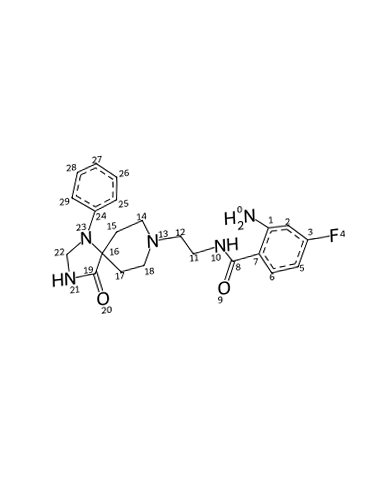 Nc1cc(F)ccc1C(=O)NCCN1CCC2(CC1)C(=O)NCN2c1ccccc1